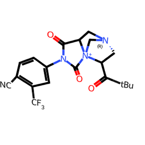 CC(C)(C)C(=O)C1C[N@@]2CC3C(=O)N(c4ccc(C#N)c(C(F)(F)F)c4)C(=O)[N+]31C2